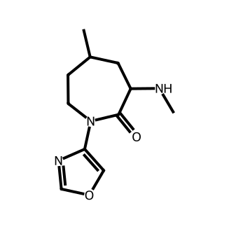 CNC1CC(C)CCN(c2cocn2)C1=O